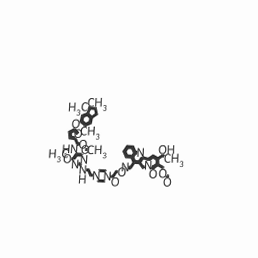 COc1nc(NCCN2CCN(C(=O)CO/N=C/c3c4c(nc5ccccc35)-c3cc(C(C)O)c(COC=O)c(=O)n3C4)CC2)nc(OC)c1NC(=O)c1ccc(Oc2cc3c(cc2C)CCC3(C)C)o1